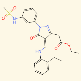 CCOC(=O)CC1=NN(c2cccc(NS(C)(=O)=O)c2)C(=O)C1=CNc1ccccc1CC